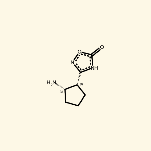 N[C@H]1CCC[C@H]1c1noc(=O)[nH]1